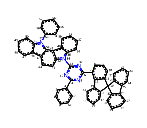 c1ccc(-c2nc(-c3cccc4c3-c3ccccc3C43c4ccccc4-c4ccccc43)nc(-n3c4ccccc4c4c3ccc3c5ccccc5n(-c5ccccc5)c34)n2)cc1